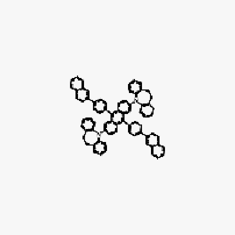 C1=CC2=C(CC1)CCc1ccccc1N2c1ccc2c(-c3ccc(-c4ccc5ccccc5c4)cc3)c3cc(N4c5ccccc5CCc5ccccc54)ccc3c(C3=CC=C(c4ccc5ccccc5c4)CC3)c2c1